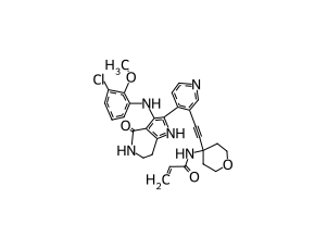 C=CC(=O)NC1(C#Cc2cnccc2-c2[nH]c3c(c2Nc2cccc(Cl)c2OC)C(=O)NCC3)CCOCC1